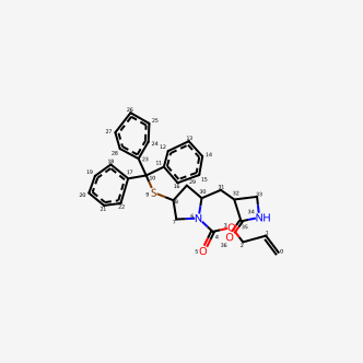 C=CCOC(=O)N1CC(SC(c2ccccc2)(c2ccccc2)c2ccccc2)CC1CC1CNC1=O